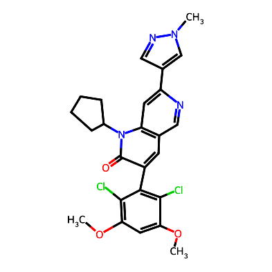 COc1cc(OC)c(Cl)c(-c2cc3cnc(-c4cnn(C)c4)cc3n(C3CCCC3)c2=O)c1Cl